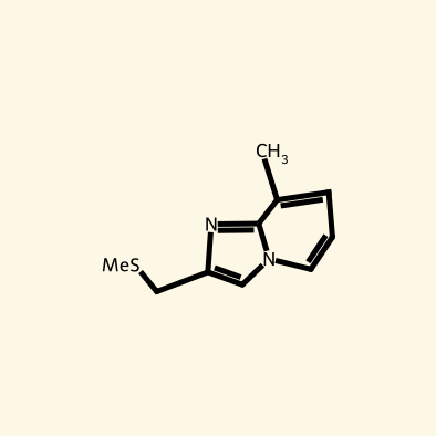 CSCc1cn2cccc(C)c2n1